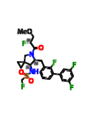 COC[C@@H](F)C(=O)N1CC2(CC2)[C@H](NS(=O)(=O)CF)[C@@H]1Cc1cccc(-c2cc(F)cc(F)c2)c1F